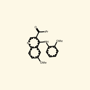 CCCC(=O)c1cnc2ccc(OC)cc2c1Nc1ccccc1OC